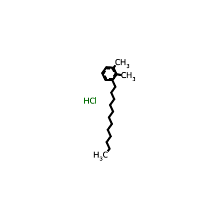 CCCCCCCCCCCCc1cccc(C)c1C.Cl